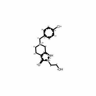 O=c1c2c([nH]n1CCO)CN(Cc1ccc(Cl)cc1)CC2